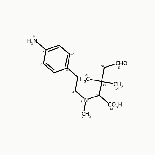 CN(CCc1ccc(N)cc1)C(C(=O)O)C(C)(C)CC=O